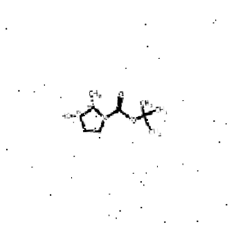 C[C@H]1[C@@H](O)CCN1C(=O)OC(C)(C)C